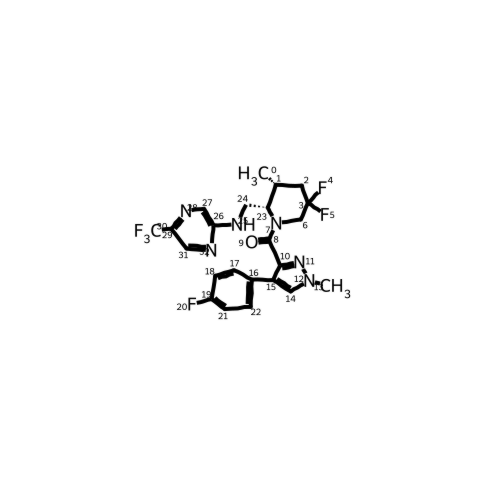 C[C@@H]1CC(F)(F)CN(C(=O)c2nn(C)cc2-c2ccc(F)cc2)[C@@H]1CNc1cnc(C(F)(F)F)cn1